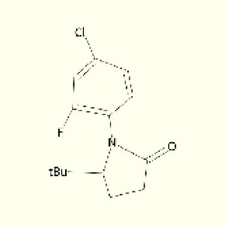 CC(C)(C)C1CCC(=O)N1c1ccc(Cl)cc1F